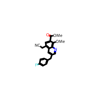 COC(=O)c1cc(CC#N)c2cc(Cc3ccc(F)cc3)cnc2c1OC